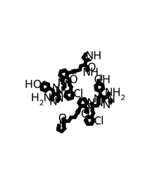 NC(=O)C(CCC#Cc1cccc2nc(Cn3nc(-c4ccc(O)cc4)c4c(N)ncnc43)n(Cc3ccccc3Cl)c(=O)c12)C1CCNC1.Nc1ncnc2c1c(-c1ccc(O)cc1)nn2Cc1nc2cccc(C#CCCCC(=O)N3CCCC3)c2c(=O)n1Cc1ccccc1Cl